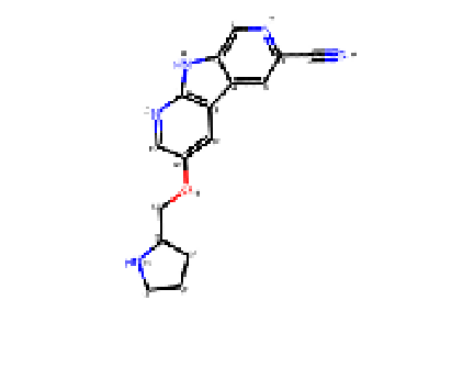 N#Cc1cc2c(cn1)[nH]c1ncc(OCC3CCCN3)cc12